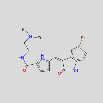 CCN(CC)CCN(C)C(=O)c1ccc(C=C2C(=O)Nc3ccc(Br)cc32)[nH]1